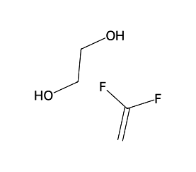 C=C(F)F.OCCO